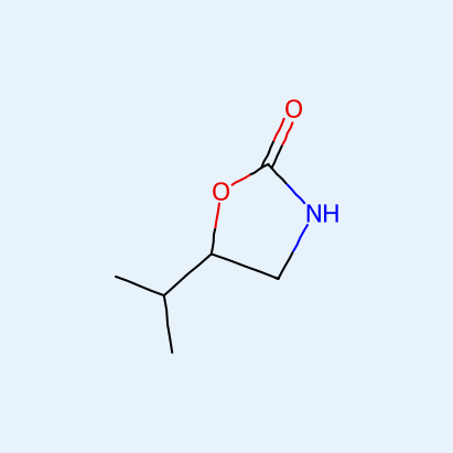 CC(C)C1CNC(=O)O1